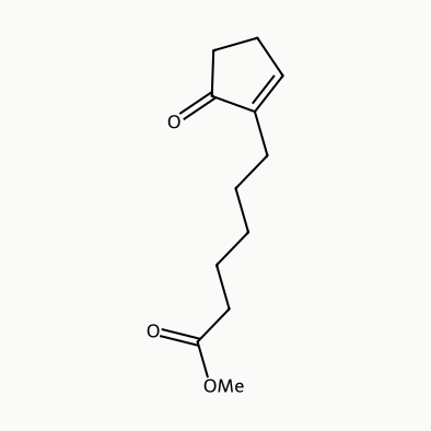 COC(=O)CCCCCC1=CCCC1=O